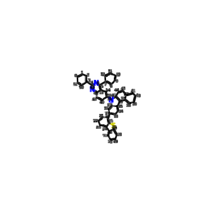 c1ccc(-c2nc(-c3ccccc3)c3cc(-n4c5cc(-c6cccc7c6sc6ccccc67)ccc5c5c6ccccc6ccc54)ccc3n2)cc1